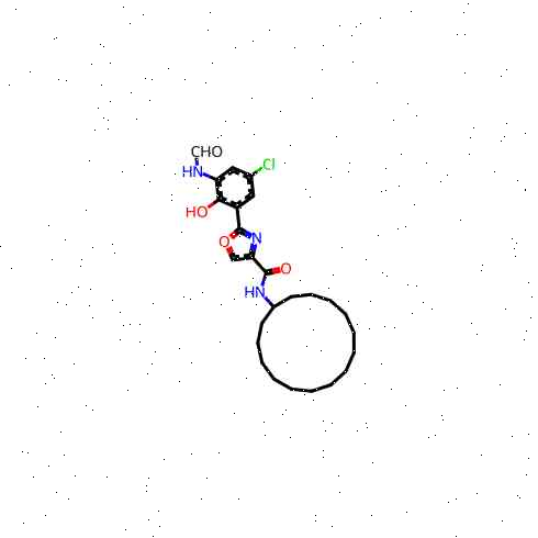 O=CNc1cc(Cl)cc(-c2nc(C(=O)NC3CCCCCCCCCCCCCC3)co2)c1O